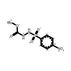 CC(C)(C)OC(=O)NNS(=O)(=O)c1ccc([N+](=O)[O-])cc1